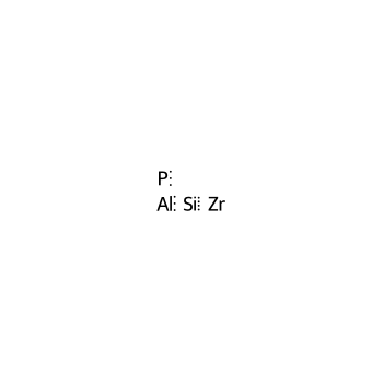 [Al].[P].[Si].[Zr]